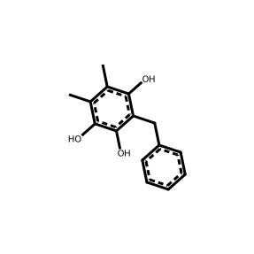 Cc1c(C)c(O)c(Cc2ccccc2)c(O)c1O